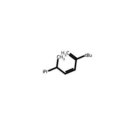 C=C(/C=C\C(C)C(C)C)C(C)(C)C